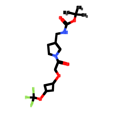 CC(C)(C)OC(=O)NCC1CCN(C(=O)COC2CC(OC(F)(F)F)C2)C1